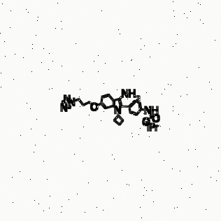 CC(C)OC(=O)Nc1ccc(-c2c(N)c3ccc(OCCCn4cncn4)cc3n2C2CCC2)cc1